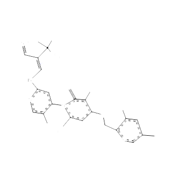 Cc1cnc(N/C=C(\C=N)C(C)(C)O)cc1-n1c(C)cc(OCc2ncc(F)cc2F)c(Cl)c1=O